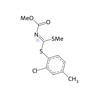 COC(=O)/N=C(\SC)Sc1ccc(C)cc1Cl